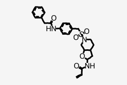 C=CC(=O)NC1CC2CCN(S(=O)(=O)Cc3ccc(NC(=O)Cc4ccccc4)cc3)CC2O1